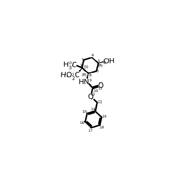 C[C@]1(C(=O)O)CC[C@@H](O)C[C@H]1NC(=O)OCc1ccccc1